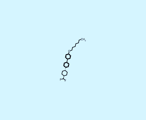 CCCCCCCOc1ccc(-c2ccc([C@H]3CC[C@H](C(F)F)CC3)cc2)cc1